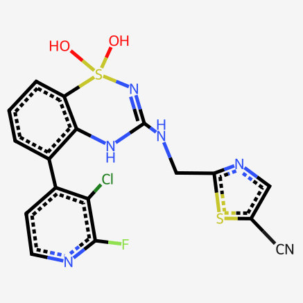 N#Cc1cnc(CNC2=NS(O)(O)c3cccc(-c4ccnc(F)c4Cl)c3N2)s1